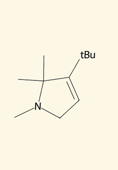 CN1CC=C(C(C)(C)C)C1(C)C